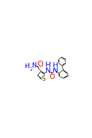 NC(=O)c1ccsc1NC(=O)Nc1ccccc1-c1ccccc1